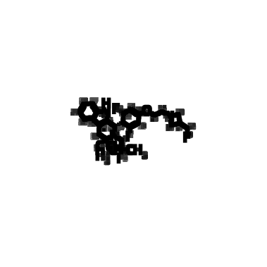 CC(C)(F)CN1[C@@H](C2C(F)=CC(OCCN3CC(CF)C3)=C[C@H]2F)c2[nH]c3ccccc3c2CC1(C)C